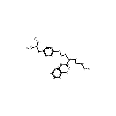 CCCCCOCCN(CCOc1ccc(CC(OCC)C(=O)O)cc1)C(=O)Oc1ccccc1Cl